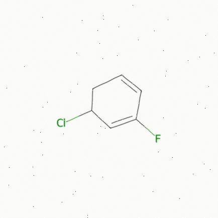 FC1=CC(Cl)CC=C1